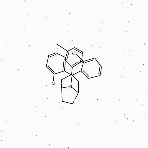 Cc1ccnc(C2CC3CCC(C2)N3C(c2ccccc2Cl)c2ccccc2Cl)c1